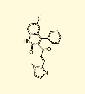 Cn1ccnc1C=CC(=O)c1c(-c2ccccc2)c2cc(Cl)ccc2[nH]c1=O